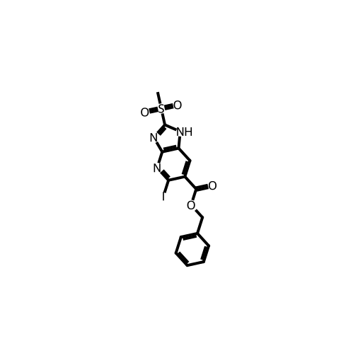 CS(=O)(=O)c1nc2nc(I)c(C(=O)OCc3ccccc3)cc2[nH]1